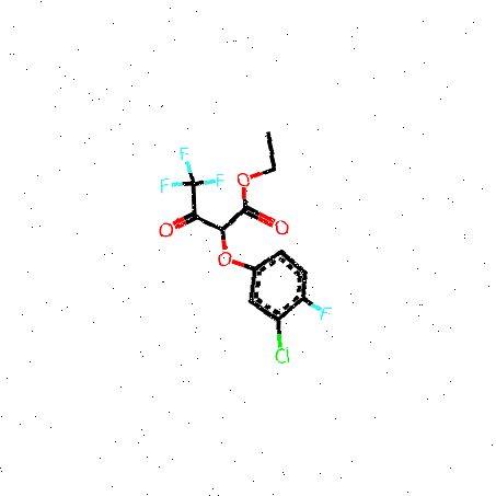 CCOC(=O)C(Oc1ccc(F)c(Cl)c1)C(=O)C(F)(F)F